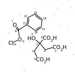 O=C(O)CC(O)(CC(=O)O)C(=O)O.O=C(OCl)c1ccccc1